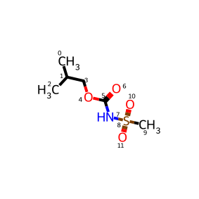 CC(C)COC(=O)NS(C)(=O)=O